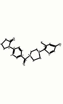 CCc1cnc(N2CCN(C(=O)c3ccc(N4CCCC4=O)nc3)CC2)c(C)c1